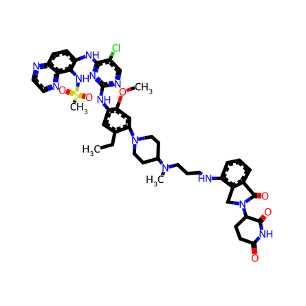 CCc1cc(Nc2ncc(Cl)c(Nc3ccc4nccnc4c3NS(C)(=O)=O)n2)c(OC)cc1N1CCC(N(C)CCCNc2cccc3c2CN(C2CCC(=O)NC2=O)C3=O)CC1